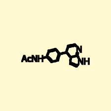 CC(=O)Nc1ccc(C2C=CN=C3NC=CC32)cc1